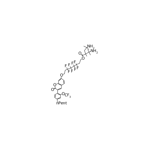 CCCCCc1ccc(-c2cc3ccc(OCCC(F)(F)C(F)(F)C(F)(F)C(F)(F)CCOC(=O)C(C)(CC(C)(C)N)C(C)(C)N)cc3oc2=O)c(OC(F)(F)F)c1